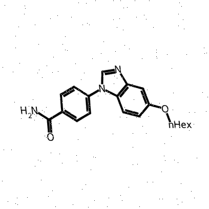 CCCCCCOc1ccc2c(c1)ncn2-c1ccc(C(N)=O)cc1